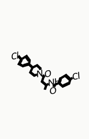 CC(CC(=O)N1CCC(c2ccc(Cl)cc2)CC1)NC(=O)c1ccc(Cl)cc1